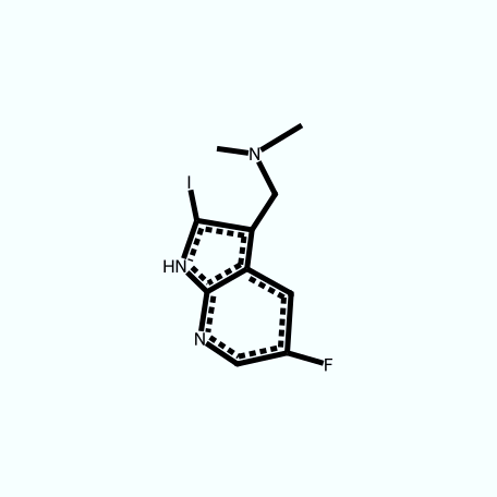 CN(C)Cc1c(I)[nH]c2ncc(F)cc12